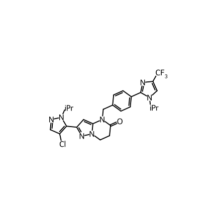 CC(C)n1cc(C(F)(F)F)nc1-c1ccc(CN2C(=O)CCn3nc(-c4c(Cl)cnn4C(C)C)cc32)cc1